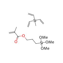 C=C(C)C(=O)OCCC[Si](OC)(OC)OC.C=C[Si](C)(C=C)C=C